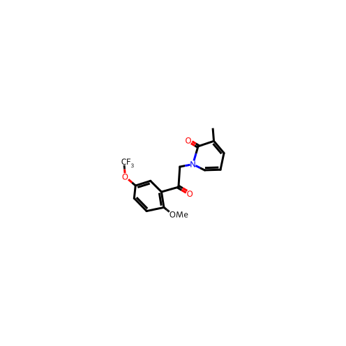 COc1ccc(OC(F)(F)F)cc1C(=O)Cn1cccc(C)c1=O